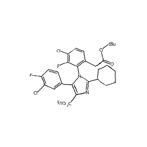 CCOC(=O)c1nc(C2CCCCC2)n(-c2c(CC(=O)OC(C)(C)C)ccc(Cl)c2F)c1-c1ccc(F)c(Cl)c1